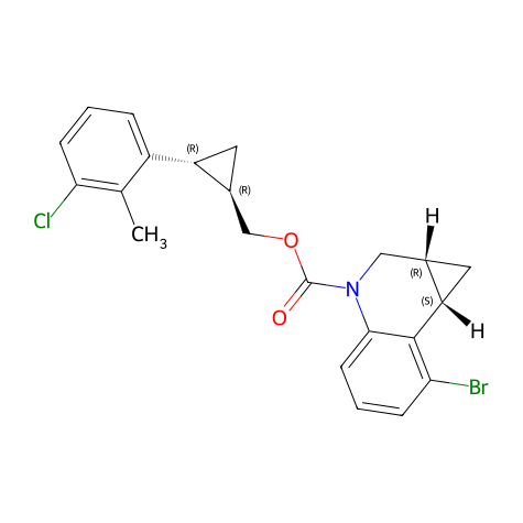 Cc1c(Cl)cccc1[C@@H]1C[C@H]1COC(=O)N1C[C@@H]2C[C@@H]2c2c(Br)cccc21